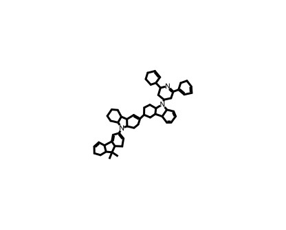 CC1(C)C2CC=C(N3C4CCC(C5CCC6C(C5)C5C=CC=CC5N6C5CC(C6=CC=CCC6)=NC(C6C=CCCC6)C5)=CC4C4CCCCC43)C=C2C2C=CCCC21